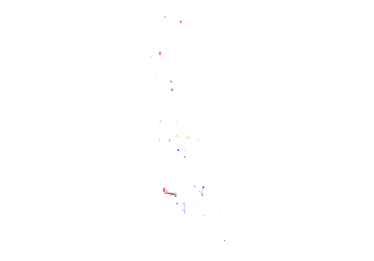 Cc1cc(OCC2(C)COC2)ccc1C=CS(=O)(=O)N1CCC2(CC1)N=C(C1CCCCC1)NC2=O